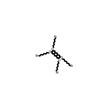 BrCCCCCCCOc1cc2cc3cc(OCCCCCCCBr)c(OCCCCCCCBr)cc3cc2cc1OCCCCCCCBr